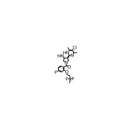 CC1=N/C(=C2\CN(C(=O)c3ccc(F)cc3OCCC(F)(F)F)CC2=N)NC(C)=C1Cl